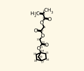 C=C(C)C(=O)OCC(=O)OCC(=O)OC12CCC(CC1)C2